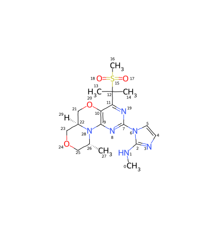 CNc1nccn1-c1nc2c(c(C(C)(C)S(C)(=O)=O)n1)OC[C@@H]1COC[C@@H](C)N21